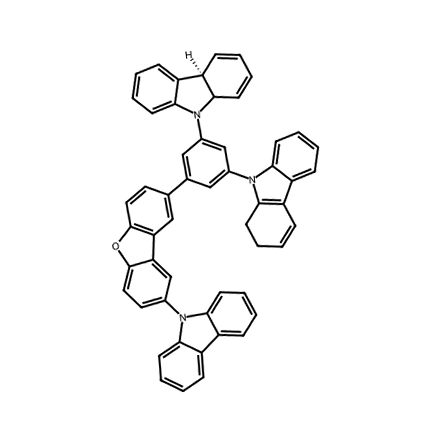 C1=CC2[C@H](C=C1)c1ccccc1N2c1cc(-c2ccc3oc4ccc(-n5c6ccccc6c6ccccc65)cc4c3c2)cc(-n2c3c(c4ccccc42)C=CCC3)c1